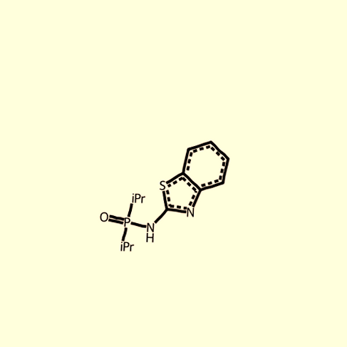 CC(C)P(=O)(Nc1nc2ccccc2s1)C(C)C